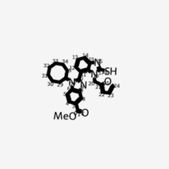 COC(=O)c1ccc2c(c1)nc(-c1cccc3nc(S)n(Cc4ccco4)c13)n2C1CCCCCCC1